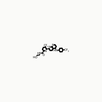 O=C(NCCO)c1ccc(C(F)(F)F)c(-c2ccc3c(Nc4ccc(C(F)(F)F)cc4)ccnc3n2)n1